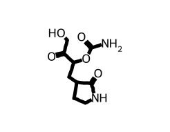 NC(=O)OC(CC1CCNC1=O)C(=O)CO